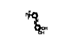 Oc1ccc(/N=N/c2cccc(C(F)(F)F)c2)cc1O